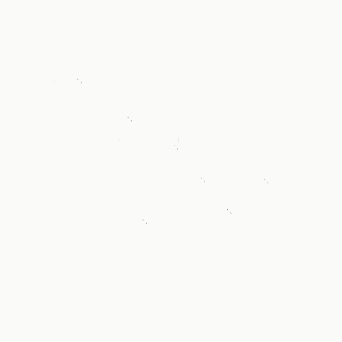 C=CC(=O)N1CCCC(NC(=O)c2sc3nccc4c3c2NC(=O)N4c2ncc(Oc3ccccc3)nc2C)C1